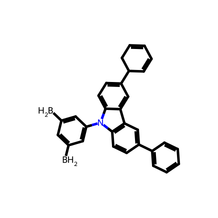 Bc1cc(B)cc(-n2c3ccc(-c4ccccc4)cc3c3cc(C4C=CC=CC4)ccc32)c1